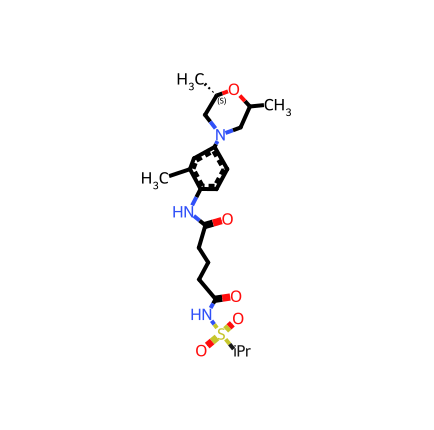 Cc1cc(N2CC(C)O[C@@H](C)C2)ccc1NC(=O)CCCC(=O)NS(=O)(=O)C(C)C